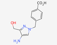 Nc1cn(Cc2ccc(C(=O)O)cc2)nc1CO